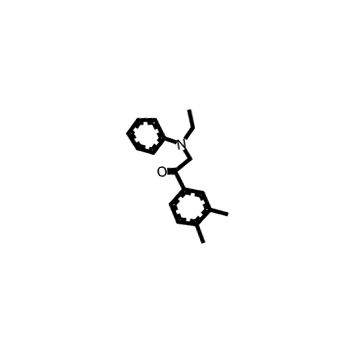 CCN(CC(=O)c1ccc(C)c(C)c1)c1ccccc1